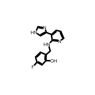 Oc1cc(F)ccc1CNc1ncccc1-c1c[nH]cn1